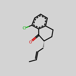 CC=CC[C@H]1CCc2cccc(Cl)c2C1=O